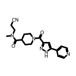 CN(CCC#N)C(=O)C1CCN(C(=O)c2cc(-c3ccncc3)[nH]n2)CC1